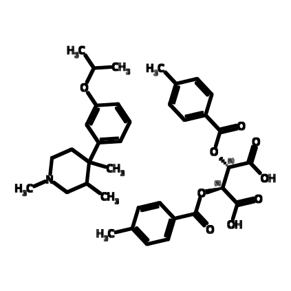 CC(C)Oc1cccc(C2(C)CCN(C)CC2C)c1.Cc1ccc(C(=O)O[C@H](C(=O)O)[C@H](OC(=O)c2ccc(C)cc2)C(=O)O)cc1